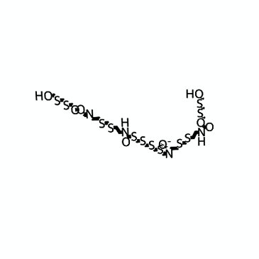 O=C(NCCSCSCC/N=C\[S+]([O-])CSCSCSC(=O)NCCSCSCC/N=C/OOCSCSCO)OCSCSCO